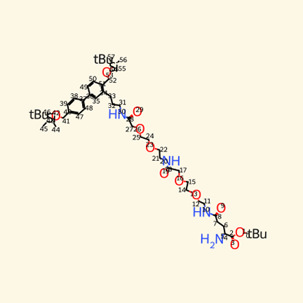 CC(C)(C)OC(=O)C(N)CCC(=O)NCCOCCOCC(=O)NCCOCCOCC(=O)NCCCc1cc(-c2ccc(CO[Si](C)(C)C(C)(C)C)cc2)ccc1CO[Si](C)(C)C(C)(C)C